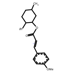 COc1ccc(/C=C/C(=O)OC2CC(C)CCC2C(C)C)cc1